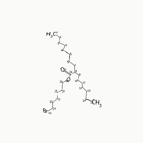 CCCCCCCCC(CCCCCCC)C(=O)OCCCCCCBr